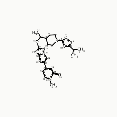 CC(C)c1noc(N2CCC(C(C)Oc3nn4cc(-c5ccn(C)c(=O)c5)nc4s3)CC2)n1